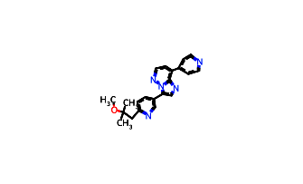 COC(C)(C)Cc1ccc(-c2cnc3c(-c4ccncc4)ccnn23)cn1